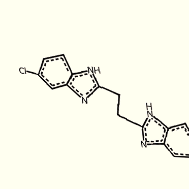 Clc1ccc2[nH]c(CCc3nc4ccccc4[nH]3)nc2c1